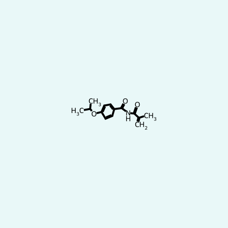 C=C(C)C(=O)NC(=O)c1ccc(OC(C)C)cc1